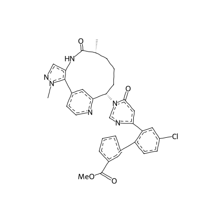 COC(=O)c1cccc(-c2ccc(Cl)cc2-c2cc(=O)n([C@H]3CCC[C@@H](C)C(=O)Nc4cnn(C)c4-c4ccnc3c4)cn2)c1